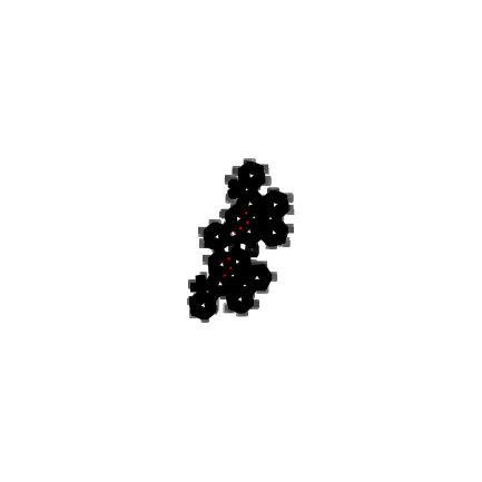 CC1(C)c2ccccc2-c2cc3c(cc21)-c1cc2c(cc1C31c3ccccc3-c3ccccc31)Oc1cc3c(cc1N2c1c(-c2ccccc2)cccc1-c1ccccc1)-c1cc2c(cc1C31c3ccccc3-c3ccccc31)-c1ccccc1C2(C)C